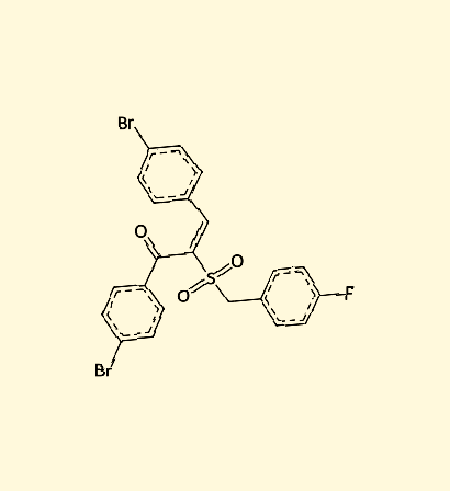 O=C(/C(=C\c1ccc(Br)cc1)S(=O)(=O)Cc1ccc(F)cc1)c1ccc(Br)cc1